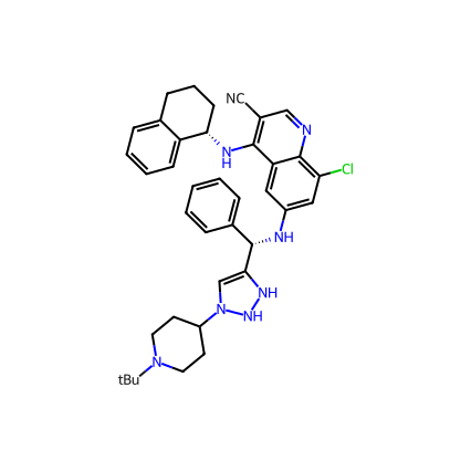 CC(C)(C)N1CCC(N2C=C([C@@H](Nc3cc(Cl)c4ncc(C#N)c(N[C@H]5CCCc6ccccc65)c4c3)c3ccccc3)NN2)CC1